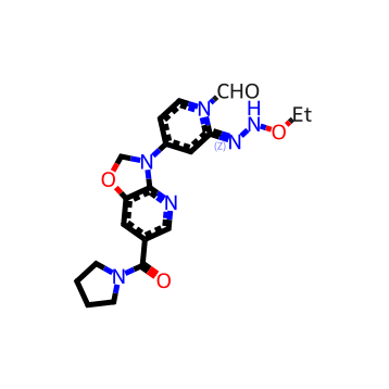 CCON/N=c1/cc(N2COc3cc(C(=O)N4CCCC4)cnc32)ccn1C=O